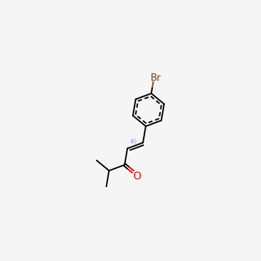 CC(C)C(=O)/C=C/c1ccc(Br)cc1